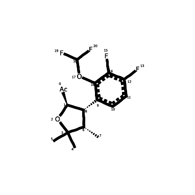 CC(=O)[C@@H]1OC(C)(C)[C@@H](C)[C@H]1c1ccc(F)c(F)c1OC(F)F